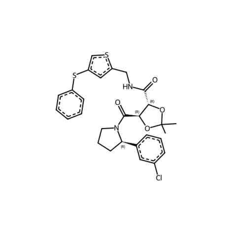 CC1(C)O[C@@H](C(=O)NCc2cc(Sc3ccccc3)cs2)[C@H](C(=O)N2CCC[C@@H]2c2cccc(Cl)c2)O1